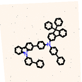 c1ccc(-c2ccc(N(c3ccc(-c4ccc5c6ccccc6n(-c6cccc(-c7ccccc7)c6)c5c4)cc3)c3ccc4c(c3)-c3ccccc3C4(c3ccccc3)c3ccccc3)cc2)cc1